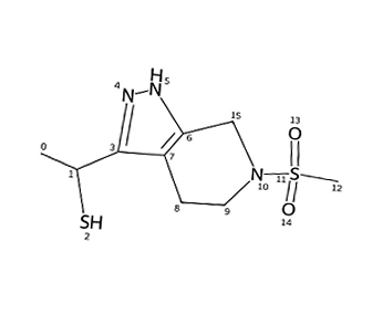 CC(S)c1n[nH]c2c1CCN(S(C)(=O)=O)C2